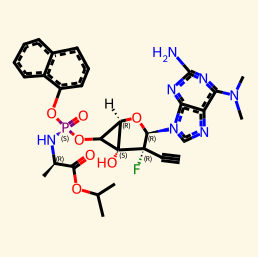 C#C[C@]1(F)[C@H](n2cnc3c(N(C)C)nc(N)nc32)O[C@@H]2C(O[P@@](=O)(N[C@H](C)C(=O)OC(C)C)Oc3cccc4ccccc34)[C@@]21O